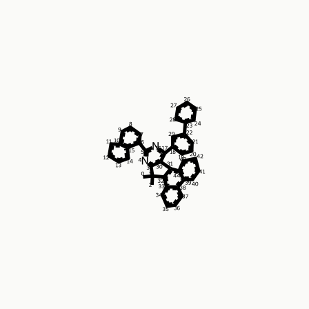 CC1(C)c2nc(-c3cccc4ccccc34)nc(-c3cccc(-c4ccccc4)c3)c2-c2c1c1ccccc1c1ccccc21